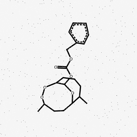 CC1CCC2OC(OC(=O)OCc3ccccc3)C(CCCC2C)OO1